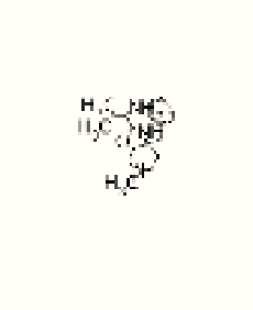 CC(C)C(N)C(=O)NC1(Cc2ccccc2)CCN(C)CC1